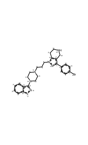 Brc1ccc(-c2nn(CCCN3CCN(c4nsc5ccccc45)CC3)c3c2CNCC3)cc1